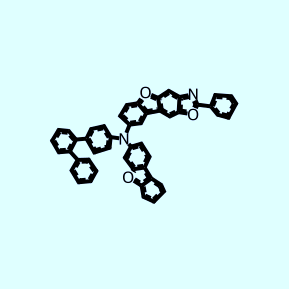 c1ccc(-c2nc3cc4oc5ccc(N(c6ccc(-c7ccccc7-c7ccccc7)cc6)c6ccc7c(c6)oc6ccccc67)cc5c4cc3o2)cc1